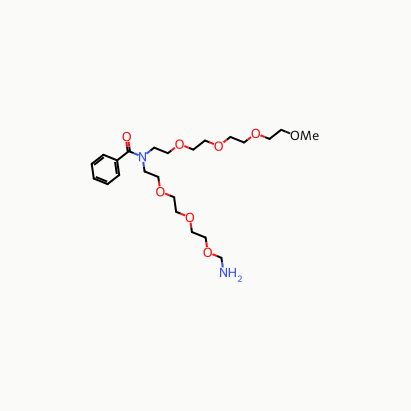 COCCOCCOCCOCCN(CCOCCOCCOCN)C(=O)c1ccccc1